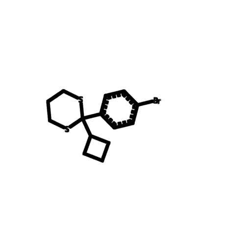 Brc1ccc(C2(C3CCC3)SCCCS2)cc1